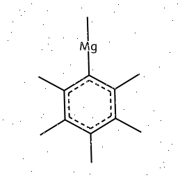 [CH3][Mg][c]1c(C)c(C)c(C)c(C)c1C